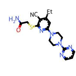 CCc1cc(N2CCN(c3ncccn3)CC2)nc(SCC(N)=O)c1C#N